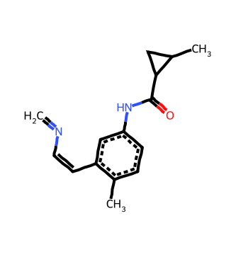 C=N/C=C\c1cc(NC(=O)C2CC2C)ccc1C